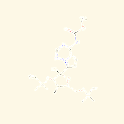 C[C@H]1[C@@H](O[Si](C)(C)C(C)(C)C)[C@](C#N)(c2ccc3c(NC(=O)OC(C)(C)C)ncnn23)O[C@@H]1CO[Si](C)(C)C(C)(C)C